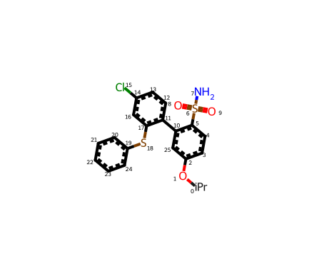 CC(C)Oc1ccc(S(N)(=O)=O)c(-c2ccc(Cl)cc2Sc2ccccc2)c1